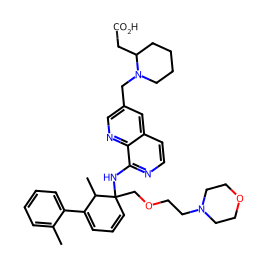 Cc1ccccc1C1=CC=CC(COCCN2CCOCC2)(Nc2nccc3cc(CN4CCCCC4CC(=O)O)cnc23)C1C